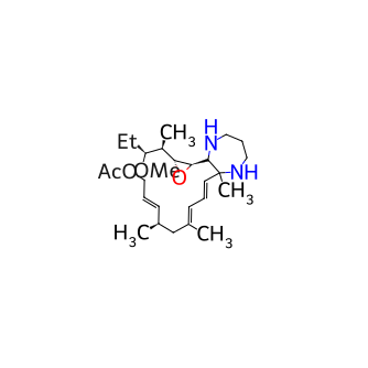 CC[C@H](OC)[C@@H](C)[C@H]1O[C@@H]1C1NCCCNC1(C)/C=C/C=C(\C)C[C@@H](C)/C=C/COC(C)=O